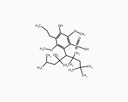 CCCc1c(O)c(OC)c(S(=O)(=O)O)c(C(C(C)(C)CC(C)C)C(C)(C)CC(C)(C)C)c1OC